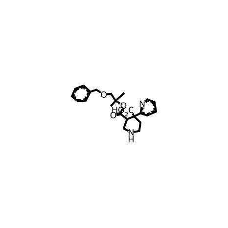 CC(C)(COCc1ccccc1)OC(=O)C1CNCCC1(C(=O)O)c1ccccn1